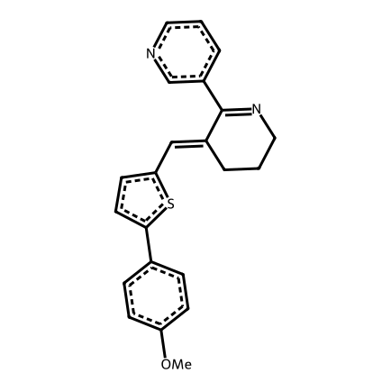 COc1ccc(-c2ccc(C=C3CCCN=C3c3cccnc3)s2)cc1